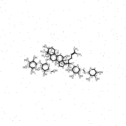 CC(C)=CCC[C@](C)(O[C@@H]1O[C@H](CO[C@@H]2OC[C@@H](O)[C@@H](O)[C@@H]2O)[C@@H](O)[C@H](O)[C@H]1O)[C@H]1CC[C@]2(C)[C@@H]1[C@H](O)C[C@@H]1[C@@]3(C)CC[C@H](O)C(C)(C)[C@@H]3[C@@H](O[C@@H]3O[C@H](CO)[C@@H](O)[C@H](O)[C@H]3O[C@@H]3O[C@@H](C)[C@H](O)[C@@H](O)[C@H]3O)C[C@]12C